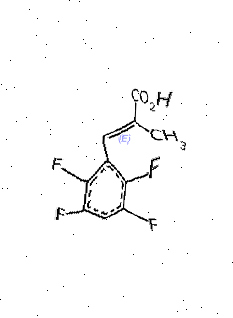 C/C(=C\c1c(F)c(F)cc(F)c1F)C(=O)O